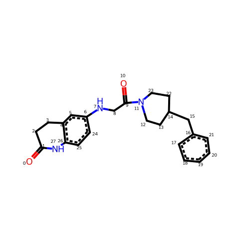 O=C1CCc2cc(NCC(=O)N3CCC(Cc4ccccc4)CC3)ccc2N1